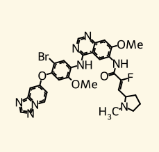 COc1cc2ncnc(Nc3cc(Br)c(Oc4ccn5ncnc5c4)cc3OC)c2cc1NC(=O)/C(F)=C/C1CCCN1C